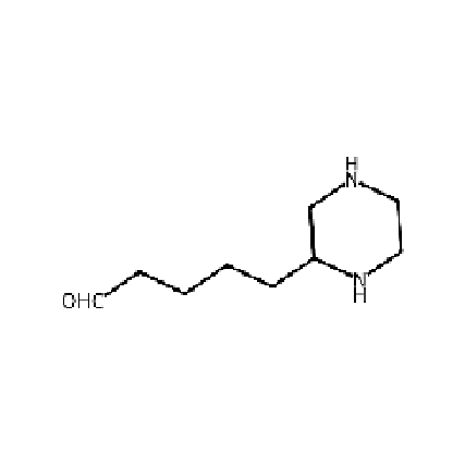 O=CCCCCC1CNCCN1